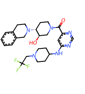 O=C(c1cc(NC2CCN(CC(F)(F)F)CC2)ncn1)N1CC[C@@H](N2CCc3ccccc3C2)[C@H](O)C1